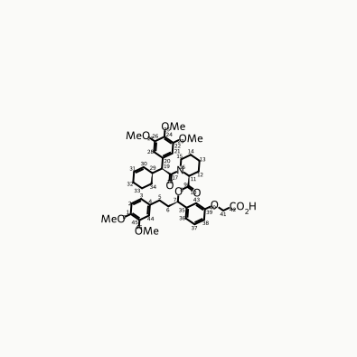 COc1ccc(CC[C@@H](OC(=O)[C@@H]2CCCCN2C(=O)[C@H](c2cc(OC)c(OC)c(OC)c2)[C@@H]2C=CCCC2)c2cccc(OCC(=O)O)c2)cc1OC